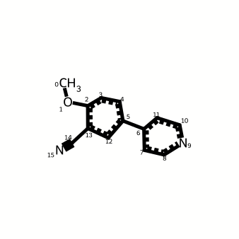 COc1ccc(-c2ccncc2)cc1C#N